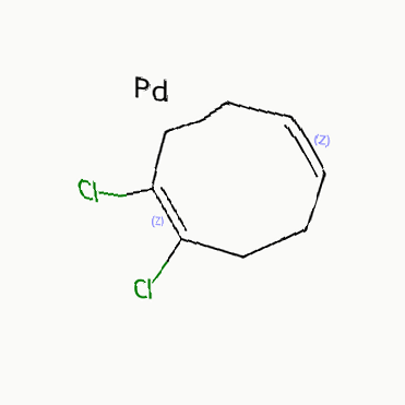 Cl/C1=C(\Cl)CC/C=C\CC1.[Pd]